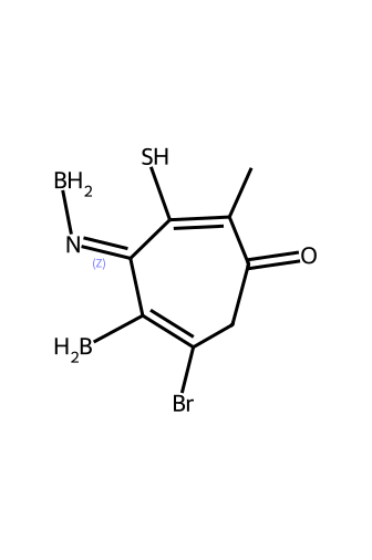 B/N=C1/C(B)=C(Br)CC(=O)C(C)=C1S